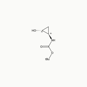 CC(C)(C)OC(=O)N[C@@H]1C[C@H]1O